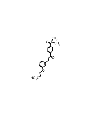 CN(C)C(=O)c1ccc(C(=O)/C=C/c2cccc(OCCC(=O)O)c2)cc1